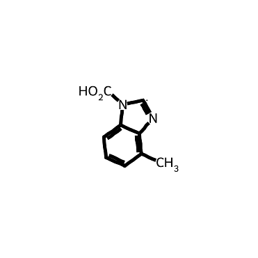 Cc1cccc2c1n[c]n2C(=O)O